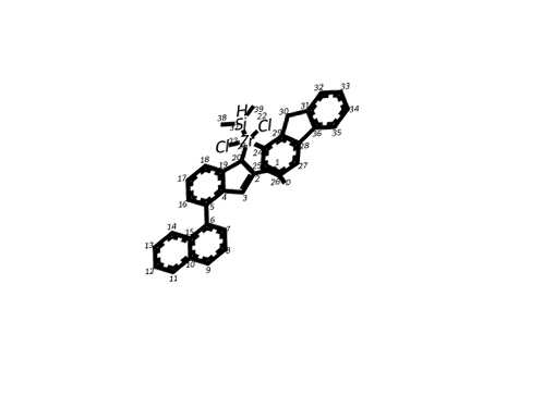 CCC1=Cc2c(-c3cccc4ccccc34)cccc2[CH]1[Zr]([Cl])([Cl])([c]1cccc2c1Cc1ccccc1-2)[SiH](C)C